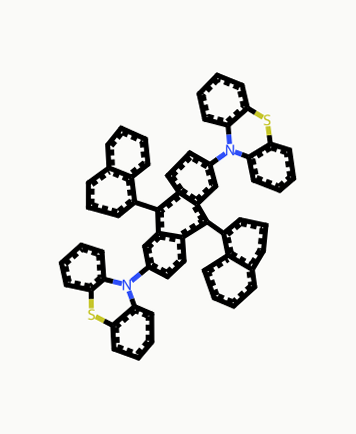 c1ccc2c(c1)Sc1ccccc1N2c1ccc2c(-c3cccc4ccccc34)c3cc(N4c5ccccc5Sc5ccccc54)ccc3c(-c3cccc4ccccc34)c2c1